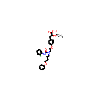 CCOC(Cc1ccc(OCCN(CCCCOc2ccccc2)C(=O)Nc2ccccc2Cl)cc1)C(=O)O